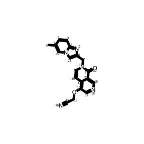 Cc1ccc2nc(Cn3ccc4c(OCC#N)cncc4c3=O)cn2c1